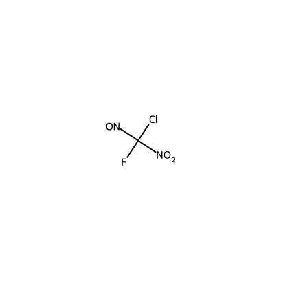 O=NC(F)(Cl)[N+](=O)[O-]